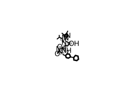 Cc1nnn([C@H](CN2C[C@H](O)C[C@H]2C(=O)N[C@H](Cc2ccc(-c3ccccc3)cc2)C(N)=O)C(C)C)c1C